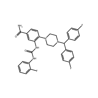 NC(=O)c1ccc(N2CCN(C(c3ccc(F)cc3)c3ccc(F)cc3)CC2)c(NC(=O)Nc2ccccc2F)c1